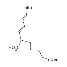 CCCCC=CC=CC(CCCCCCCCCCCCCC)C(=O)O